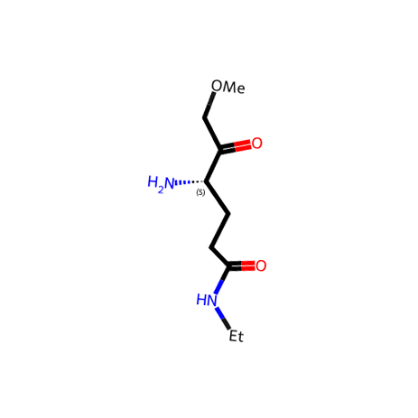 CCNC(=O)CC[C@H](N)C(=O)COC